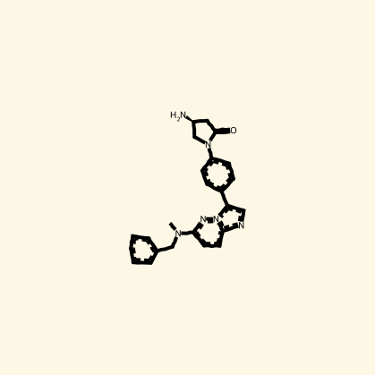 CN(Cc1ccccc1)c1ccc2ncc(-c3ccc(N4C[C@@H](N)CC4=O)cc3)n2n1